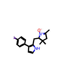 CC1=[N+]([O-])C(Cc2[nH]ccc2-c2ccc(I)cc2)C(C)(C)C1